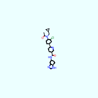 CC(=O)N(CC1CC1)c1ccc(-c2ccc(C(=O)Nc3ccc4[nH]cnc4c3)cn2)cc1Cl